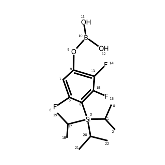 CC(C)[Si](c1c(F)cc(OB(O)O)c(F)c1F)(C(C)C)C(C)C